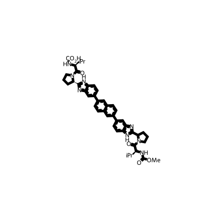 COC(=O)N[C@H](C(=O)N1CCCC1c1nc2cc(-c3ccc4cc(-c5ccc6[nH]c([C@@H]7CCCN7C(=O)[C@@H](NC(=O)O)C(C)C)nc6c5)ccc4c3)ccc2[nH]1)C(C)C